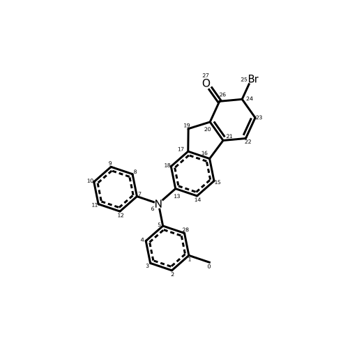 Cc1cccc(N(c2ccccc2)c2ccc3c(c2)CC2=C3C=CC(Br)C2=O)c1